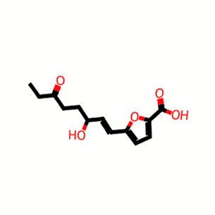 CCC(=O)CCC(O)/C=C/c1ccc(C(=O)O)o1